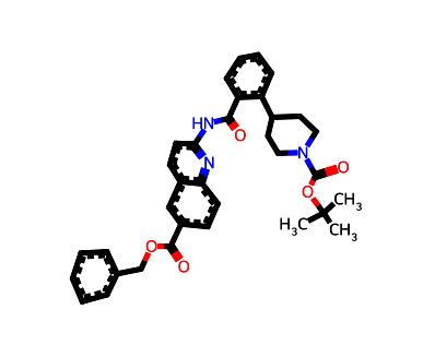 CC(C)(C)OC(=O)N1CCC(c2ccccc2C(=O)Nc2ccc3cc(C(=O)OCc4ccccc4)ccc3n2)CC1